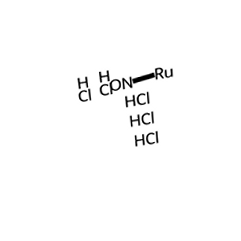 Cl.Cl.Cl.Cl.Cl.O=[N][Ru]